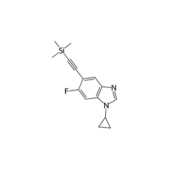 C[Si](C)(C)C#Cc1cc2ncn(C3CC3)c2cc1F